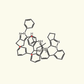 CC(Cc1ccccc1)(NC(=O)Nc1c2c(nn1-c1ccccc1)CCC2)c1cccc(-c2ccccc2-n2nc3c(c2NC(=O)NC(Cc2ccccc2)c2ccccc2)CCC3)c1